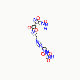 CNC(=O)N1CCc2c(-c3cc(OC)c(CN4CCC(CCN5CCN(c6ccc7nn(C8CCC(=O)NC8=O)c(=O)n7c6)CC5)CC4)c(OC)c3)cn(C)c(=O)c2C1